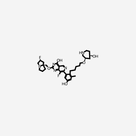 Cc1cc(O)cc(-c2ncc3c(O)nc(OC[C@@]45CCCN4C[C@H](F)C5)nc3c2F)c1CCCCCO[C@H]1CNCC[C@@H](O)C1